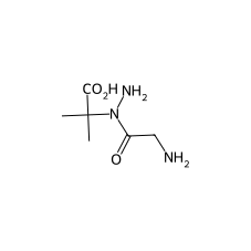 CC(C)(C(=O)O)N(N)C(=O)CN